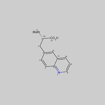 CN[C@@H](Cc1ccc2ncccc2c1)C(=O)O